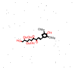 COc1cc(/C=C/C(=O)C(=O)[C@H](O)[C@@H](O)[C@H](O)[C@H](O)CO)cc(OC)c1O